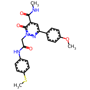 CNC(=O)c1cc(-c2ccc(OC)cc2)nn(CC(=O)Nc2ccc(SC)cc2)c1=O